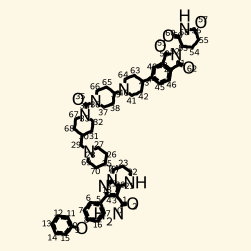 NC(=O)c1c(-c2ccc(Oc3ccccc3)cc2)nn2c1NCC[C@H]2C1CCN(CC2CCN(C(=O)N3CCC(N4CCC(c5ccc6c(c5)C(=O)N(C5CCC(=O)NC5=O)C6=O)CC4)CC3)CC2)CC1